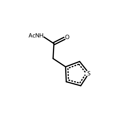 CC(=O)NC(=O)Cc1ccsc1